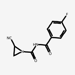 N#CC1CN1C(=O)NC(=O)c1ccc(F)cc1